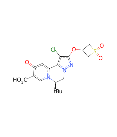 CC(C)(C)[C@@H]1Cn2nc(OC3CS(=O)(=O)C3)c(Cl)c2-c2cc(=O)c(C(=O)O)cn21